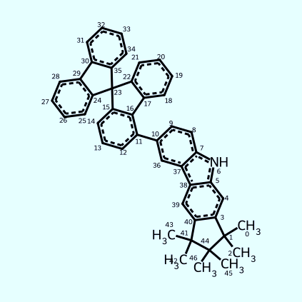 CC1(C)c2cc3[nH]c4ccc(-c5cccc6c5-c5ccccc5C65c6ccccc6-c6ccccc65)cc4c3cc2C(C)(C)C1(C)C